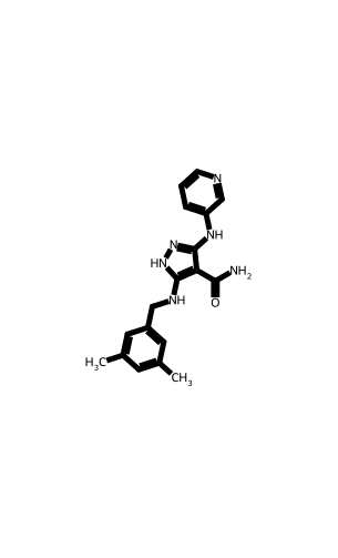 Cc1cc(C)cc(CNc2[nH]nc(Nc3cccnc3)c2C(N)=O)c1